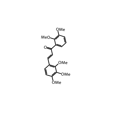 COc1cccc(C(=O)/C=C/c2ccc(OC)c(OC)c2OC)c1OC